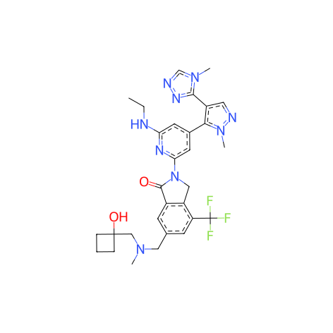 CCNc1cc(-c2c(-c3nncn3C)cnn2C)cc(N2Cc3c(cc(CN(C)CC4(O)CCC4)cc3C(F)(F)F)C2=O)n1